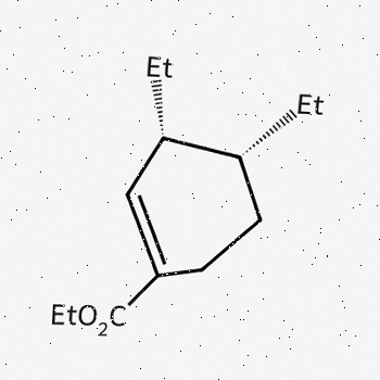 CCOC(=O)C1=C[C@H](CC)[C@H](CC)CC1